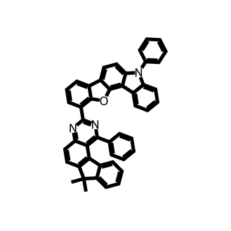 CC1(C)c2ccccc2-c2c1ccc1nc(-c3cccc4c3oc3c4ccc4c3c3ccccc3n4-c3ccccc3)nc(-c3ccccc3)c21